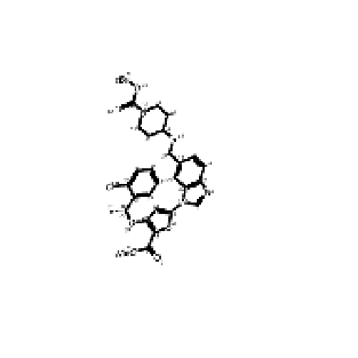 COC(=O)c1sc(-n2cnc3ccc(CSC4CCN(C(=O)OC(C)(C)C)CC4)cc32)cc1O[C@H](C)c1ccccc1Cl